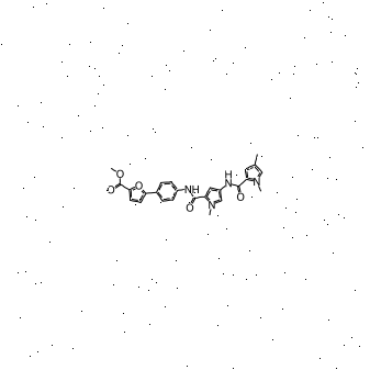 COC(=O)c1ccc(-c2ccc(NC(=O)c3cc(NC(=O)c4cc(C)cn4C)cn3C)cc2)o1